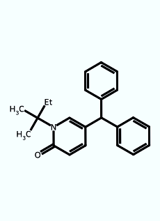 CCC(C)(C)n1cc(C(c2ccccc2)c2ccccc2)ccc1=O